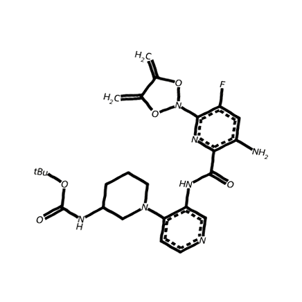 C=C1ON(c2nc(C(=O)Nc3cnccc3N3CCCC(NC(=O)OC(C)(C)C)C3)c(N)cc2F)OC1=C